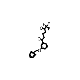 O=C(CCCC(=O)C(F)(F)F)c1cccc(OCc2ccccc2)c1